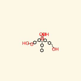 OCCCc1ccc(-c2ccc(OCCO)c(C(c3ccc(-c4ccccc4)cc3)c3cc(-c4ccc(OCCO)cc4)ccc3OCCO)c2)cc1